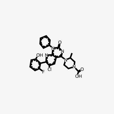 CC1CN(C(=O)O)CCN1c1nc(=O)n(-c2ccccc2)c2nc(-c3c(O)cccc3F)c(Cl)cc12